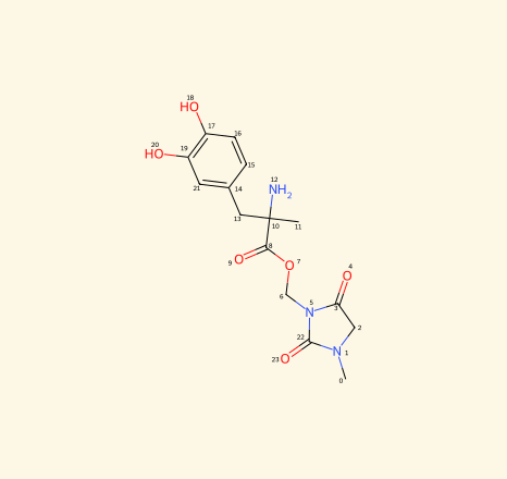 CN1CC(=O)N(COC(=O)C(C)(N)Cc2ccc(O)c(O)c2)C1=O